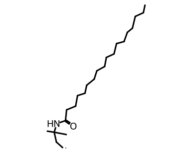 [CH2]CC(C)(C)NC(=O)CCCCCCCCCCCCCCCCC